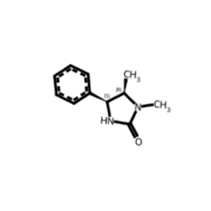 C[C@@H]1[C@H](c2ccccc2)NC(=O)N1C